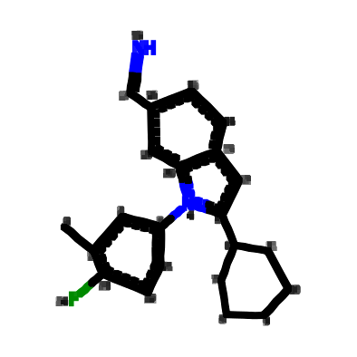 Cc1cc(-n2c(C3CCCCC3)cc3ccc(C=N)cc32)ccc1F